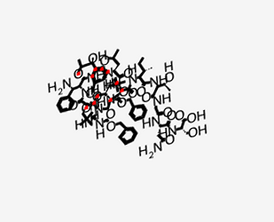 CC[C@H](C)C(NC(=O)[C@@H](CCCN(C(=N)NC(=O)OCc1ccccc1)C(=O)OCc1ccccc1)NC(=O)[C@H](CC(C)C)NC(=O)[C@@H](NC(=O)[C@@H](NC(=O)[C@H](CC(C)(C)C)NC(=O)[C@@H](CC(C)(C)C)NC(=O)OCc1ccccc1)[C@H](N)c1ccccc1)[C@H](O)C(C)C)C(=O)N[C@H](C(=O)NCC(=O)N[C@@H](CC(N)=O)C(=O)N[C@@H](CO)C(=O)O)[C@H](C)O